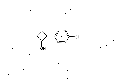 OC1CCC1c1ccc(Cl)cc1